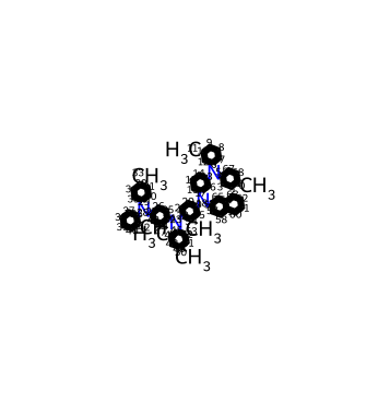 Cc1ccc(N(c2cccc(C)c2)c2cccc(N(c3ccc(N(c4ccc(N(c5ccc(C)cc5)c5ccccc5C)cc4)c4c(C)cc(C)cc4C)cc3)c3ccc4ccccc4c3)c2)cc1